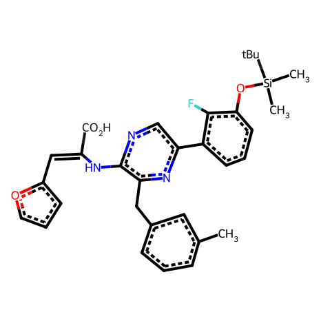 Cc1cccc(Cc2nc(-c3cccc(O[Si](C)(C)C(C)(C)C)c3F)cnc2N/C(=C\c2ccco2)C(=O)O)c1